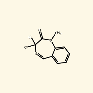 CN1C(=O)C(Cl)(Cl)N=Cc2ccccc21